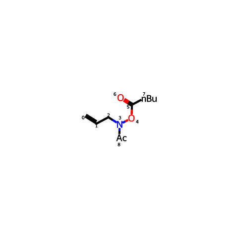 C=CCN(OC(=O)CCCC)C(C)=O